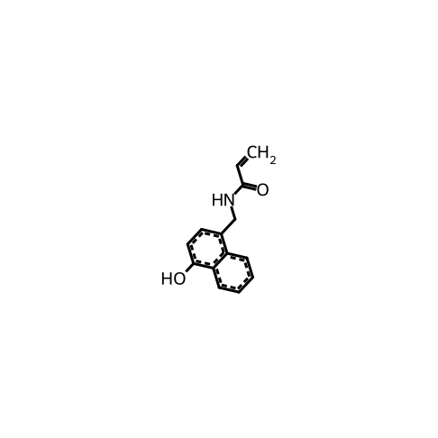 C=CC(=O)NCc1ccc(O)c2ccccc12